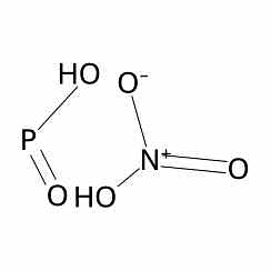 O=PO.O=[N+]([O-])O